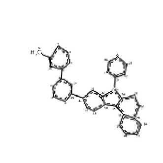 Cc1cccc(-c2cccc(-c3ccc4c5c6ccccc6ccc5n(-c5ccccc5)c4c3)c2)c1